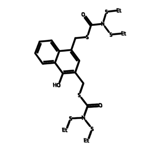 CCSN(SCC)C(=O)SCc1cc(CSC(=O)N(SCC)SCC)c2ccccc2c1O